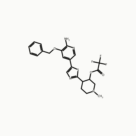 CN1CCC(c2ncc(-c3cnc(N)c(OCc4ccccc4)c3)s2)C(OC(=O)C(F)(F)F)C1